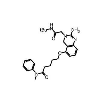 CN(C(=O)CCCCOc1cccc2c1CN(CC(=O)NC(C)(C)C)C(N)=N2)c1ccccc1